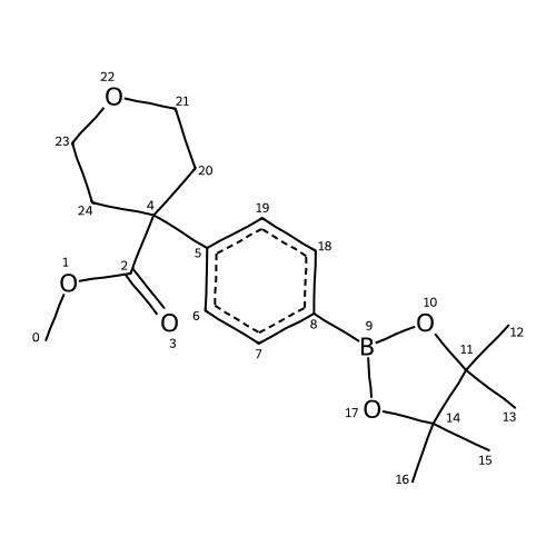 COC(=O)C1(c2ccc(B3OC(C)(C)C(C)(C)O3)cc2)CCOCC1